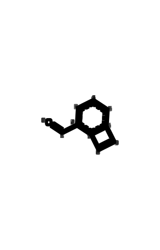 O=Cc1cccc2c1C=C2